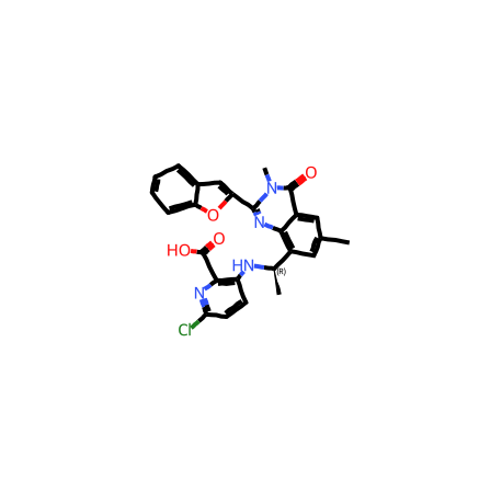 Cc1cc([C@@H](C)Nc2ccc(Cl)nc2C(=O)O)c2nc(-c3cc4ccccc4o3)n(C)c(=O)c2c1